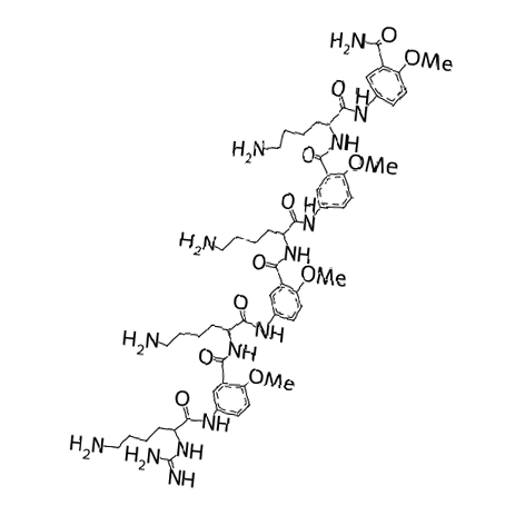 COc1ccc(NC(=O)C(CCCCN)NC(=O)c2cc(NC(=O)C(CCCCN)NC(=O)c3cc(NC(=O)C(CCCCN)NC(=O)c4cc(NC(=O)C(CCCCN)NC(=N)N)ccc4OC)ccc3OC)ccc2OC)cc1C(N)=O